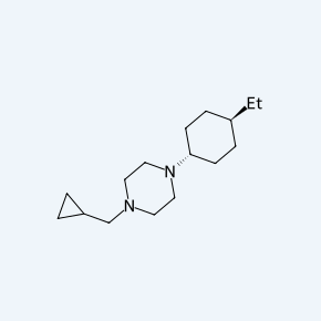 CC[C@H]1CC[C@H](N2CCN(CC3CC3)CC2)CC1